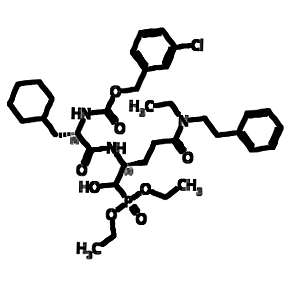 CCOP(=O)(OCC)C(O)[C@H](CCC(=O)N(CC)CCc1ccccc1)NC(=O)[C@H](CC1CCCCC1)NC(=O)OCc1cccc(Cl)c1